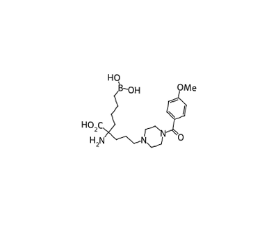 COc1ccc(C(=O)N2CCN(CCCC(N)(CCCCB(O)O)C(=O)O)CC2)cc1